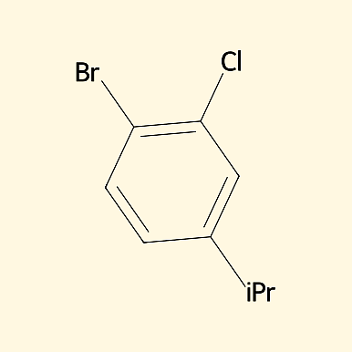 CC(C)c1ccc(Br)c(Cl)c1